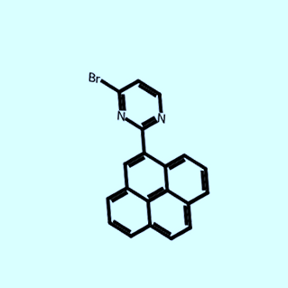 Brc1ccnc(-c2cc3cccc4ccc5cccc2c5c43)n1